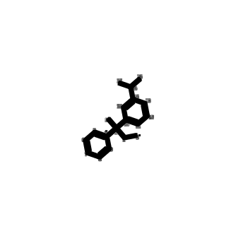 [CH2]CC(C)(c1ccccc1)c1cccc(C(C)C)c1